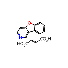 O=C(O)C=CC(=O)O.c1ccc2c(c1)oc1ccncc12